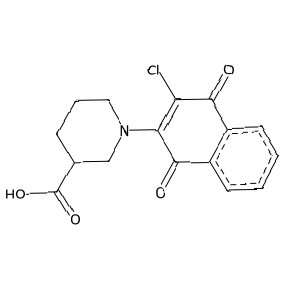 O=C1C(Cl)=C(N2CCCC(C(=O)O)C2)C(=O)c2ccccc21